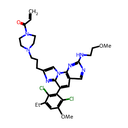 C=CC(=O)N1CCN(CCCc2cn3c(n2)c(-c2c(Cl)c(CC)cc(OC)c2Cl)cc2cnc(NCCOC)nc23)CC1